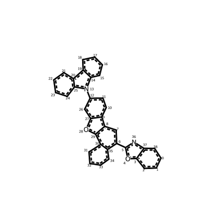 c1ccc2oc(-c3cc4c5ccc(-n6c7ccccc7c7ccccc76)cc5oc4c4ccccc34)nc2c1